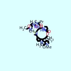 C=CC(=O)N(C)C[C@H]1CCN1C(=O)N(C)C(C(=O)N[C@H]1Cc2nc(cs2)-c2ccc3c(c2)c(c(-c2cccnc2[C@H](C)OC)n3CC)CC(C)(C)COC(=O)[C@@H]2CCCN(N2)C1=O)C(C)C